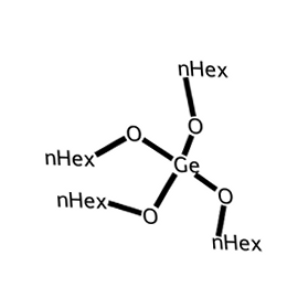 CCCCCC[O][Ge]([O]CCCCCC)([O]CCCCCC)[O]CCCCCC